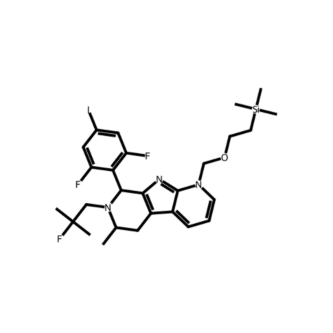 CC1Cc2c3cccn(COCC[Si](C)(C)C)c-3nc2C(c2c(F)cc(I)cc2F)N1CC(C)(C)F